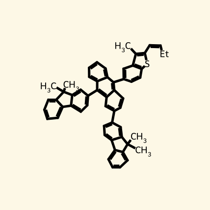 CC/C=C\c1sc2ccc(-c3c4ccccc4c(-c4ccc5c(c4)C(C)(C)c4ccccc4-5)c4cc(-c5ccc6c(c5)C(C)(C)c5ccccc5-6)ccc34)cc2c1C